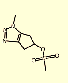 Cn1nnc2c1CC(OS(C)(=O)=O)C2